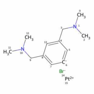 CN(C)Cc1c[c-]cc(CN(C)C)c1.[Br-].[Pt+2]